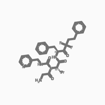 CC(C)[C@@H](C(=O)N[C@@H](Cc1ccccc1)C(=O)C(F)(F)CCc1ccccc1)N(C(=O)CN)C(=O)NCc1cccnc1